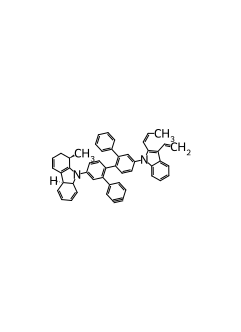 C=Cc1c(/C=C\C)n(-c2ccc(-c3ccc(N4C5=C(C=CC[C@H]5C)[C@@H]5C=CC=CC54)cc3-c3cc#ccc3)c(-c3ccccc3)c2)c2ccccc12